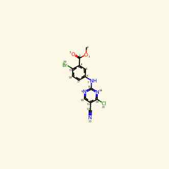 COC(=O)c1cc(Nc2ncc(C#N)c(Cl)n2)ccc1Br